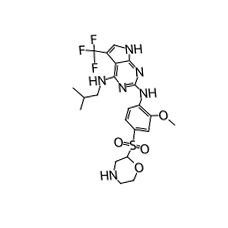 COc1cc(S(=O)(=O)C2CNCCO2)ccc1Nc1nc(NCC(C)C)c2c(C(F)(F)F)c[nH]c2n1